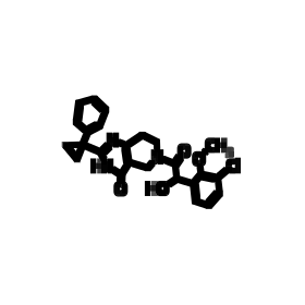 COc1c(Cl)cccc1C(O)C(=O)N1CCc2nc(C3(c4ccccc4)CC3)[nH]c(=O)c2C1